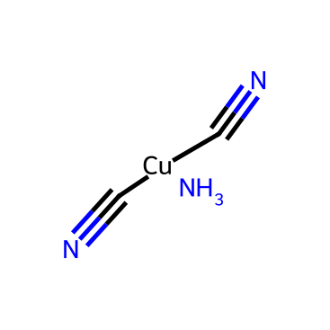 N.N#[C][Cu][C]#N